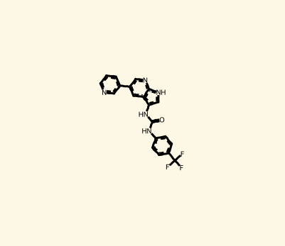 O=C(Nc1ccc(C(F)(F)F)cc1)Nc1c[nH]c2ncc(-c3cccnc3)cc12